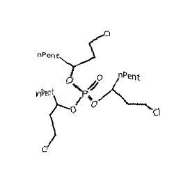 CCCCCC(CCCl)OP(=O)(OC(CCCl)CCCCC)OC(CCCl)CCCCC